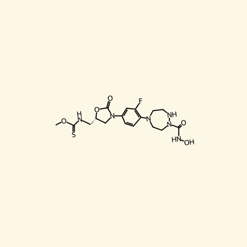 COC(=S)NC[C@H]1CN(c2ccc(N3CCNN(C(=O)NO)CC3)c(F)c2)C(=O)O1